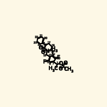 CC(OS(C)(=O)=O)c1cc(F)c(CN2[C@@H](C)CC[C@H](c3ccccc3)S2(=O)=O)cc1F